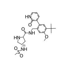 COc1cc(CNC(=O)C2C[C@H](NS(C)(=O)=O)CN2)c(-c2ccc[nH]c2=O)cc1C(C)(C)C